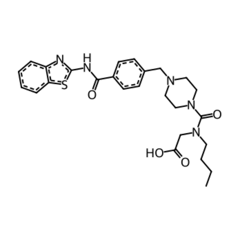 CCCCN(CC(=O)O)C(=O)N1CCN(Cc2ccc(C(=O)Nc3nc4ccccc4s3)cc2)CC1